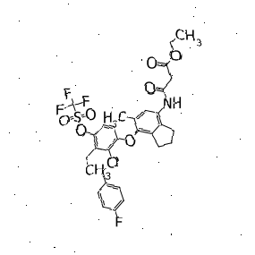 CCOC(=O)CC(=O)Nc1cc(C)c(Oc2ccc(OS(=O)(=O)C(F)(F)F)c(CC)c2OCc2ccc(F)cc2)c2c1CCC2